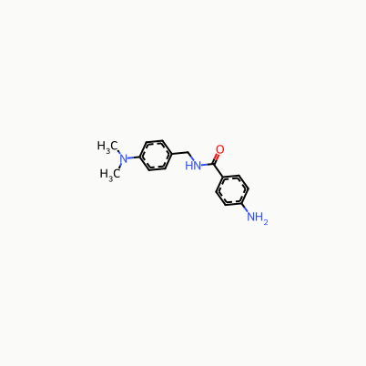 CN(C)c1ccc(CNC(=O)c2ccc(N)cc2)cc1